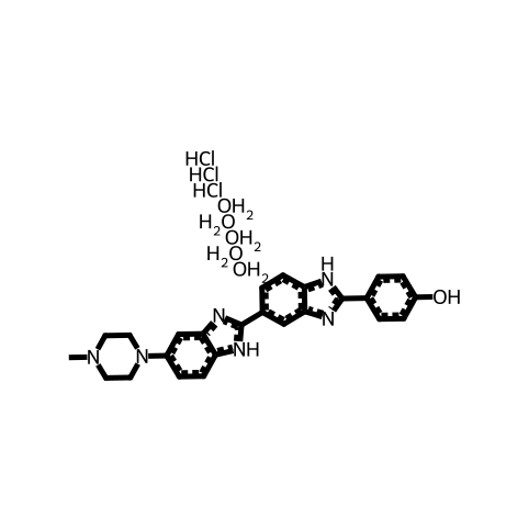 CN1CCN(c2ccc3[nH]c(-c4ccc5[nH]c(-c6ccc(O)cc6)nc5c4)nc3c2)CC1.Cl.Cl.Cl.O.O.O.O.O